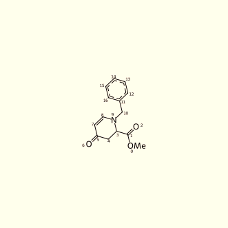 COC(=O)C1CC(=O)C=CN1Cc1ccccc1